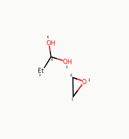 C1CO1.CCC(O)O